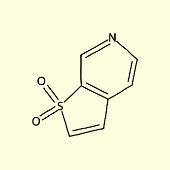 O=S1(=O)C=Cc2ccncc21